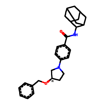 O=C(NC1C2CC3CC(C2)CC1C3)c1ccc(N2CC[C@@H](OCc3ccccc3)C2)cc1